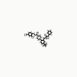 O=C(CCc1ccc(Cl)cc1Cl)N1CCN(c2ccc(C(F)(F)F)cc2CNC(F)Cc2ccccc2)CC1